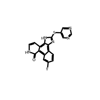 O=c1[nH]ccc2c3[nH]c(Sc4cncnc4)nc3c3ccc(F)cc3c12